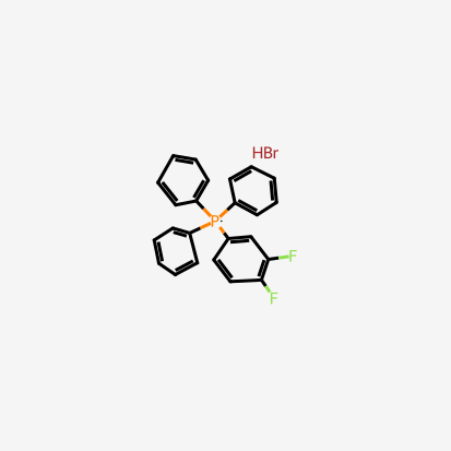 Br.Fc1ccc([P](c2ccccc2)(c2ccccc2)c2ccccc2)cc1F